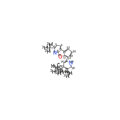 [2H]C([2H])([2H])c1ccc2c(n1)oc1c(-c3cc(C([2H])(C)C([2H])([2H])[2H])c(C([2H])([2H])[2H])cn3)cccc12